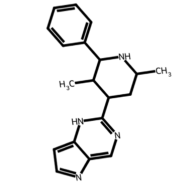 CC1CC(c2ncc3nccc-3[nH]2)C(C)C(c2ccccc2)N1